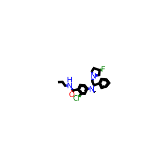 CCCNC(=O)c1ccc(N(C)C(CN2CCC(F)C2)c2ccccc2)cc1Cl